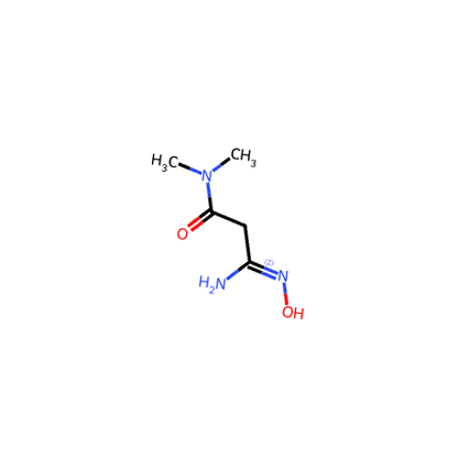 CN(C)C(=O)C/C(N)=N/O